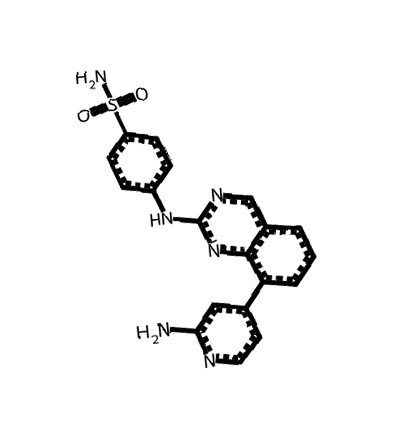 Nc1cc(-c2cccc3cnc(Nc4ccc(S(N)(=O)=O)cc4)nc23)ccn1